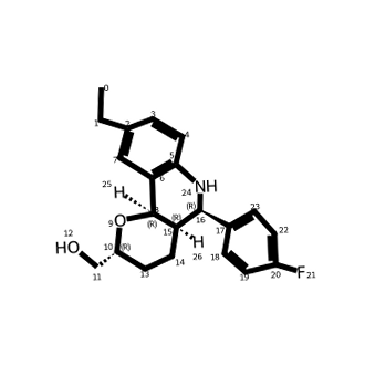 CCc1ccc2c(c1)[C@@H]1O[C@@H](CO)CC[C@@H]1[C@H](c1ccc(F)cc1)N2